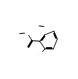 COC(=O)c1ccccc1O.OO